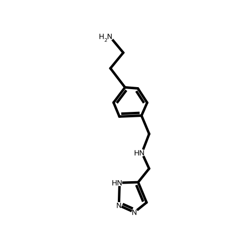 NCCc1ccc(CNCc2cnn[nH]2)cc1